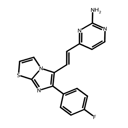 Nc1nccc(C=Cc2c(-c3ccc(F)cc3)nc3sccn23)n1